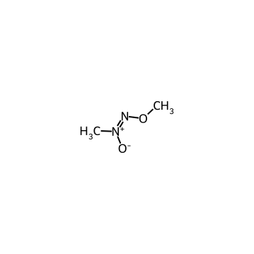 CON=[N+](C)[O-]